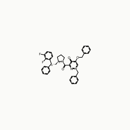 O=C(c1nn(Cc2ccccc2)cc(OCc2ccccc2)c1=O)N1CCC[C@@H]1C[C@H](c1ccccc1)c1cccc(F)c1F